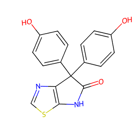 O=C1Nc2scnc2C1(c1ccc(O)cc1)c1ccc(O)cc1